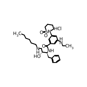 CCCCCCNC[C@@H](O)[C@H](Cc1ccccc1)NC(=O)c1cc(NCC)cc(N2CCCCS2(=O)=O)c1.Cl